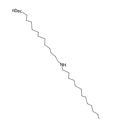 CCCCCCCCCCCCCCCCCCCCCCNCCCCCCCCCCCCC(=O)O